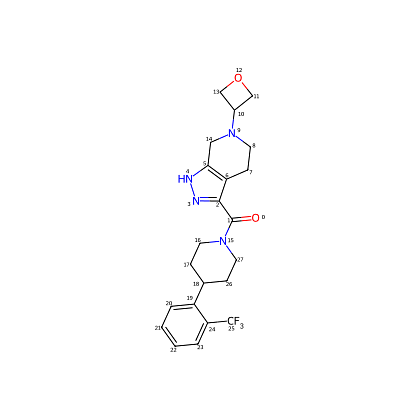 O=C(c1n[nH]c2c1CCN(C1COC1)C2)N1CCC(c2ccccc2C(F)(F)F)CC1